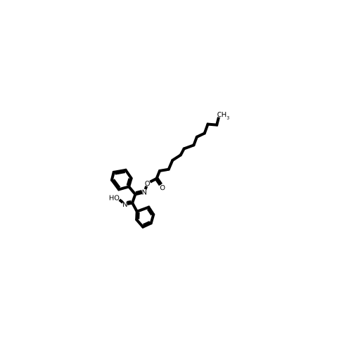 CCCCCCCCCCCC(=O)ON=C(C(=NO)c1ccccc1)c1ccccc1